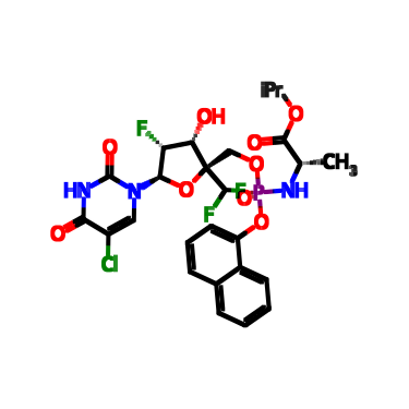 CC(C)OC(=O)[C@H](C)NP(=O)(OC[C@@]1(C(F)F)O[C@@H](n2cc(Cl)c(=O)[nH]c2=O)[C@H](F)[C@@H]1O)Oc1cccc2ccccc12